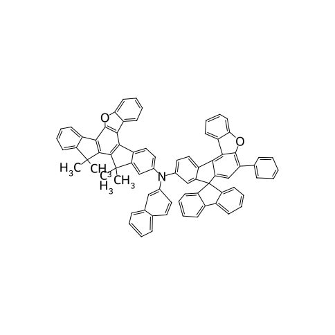 CC1(C)c2ccccc2-c2c1c1c(c3c2oc2ccccc23)-c2ccc(N(c3ccc4c(c3)C3(c5ccccc5-c5ccccc53)c3cc(-c5ccccc5)c5oc6ccccc6c5c3-4)c3ccc4ccccc4c3)cc2C1(C)C